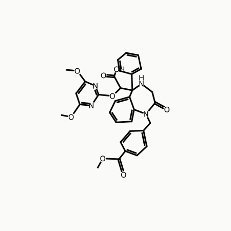 COC(=O)c1ccc(CN2C(=O)CNC(c3ccccc3)(C(Oc3nc(OC)cc(OC)n3)C(=O)O)c3ccccc32)cc1